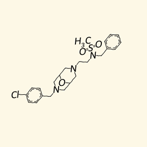 CS(=O)(=O)N(CCN1CC2CN(Cc3ccc(Cl)cc3)CC(C1)O2)Cc1ccccc1